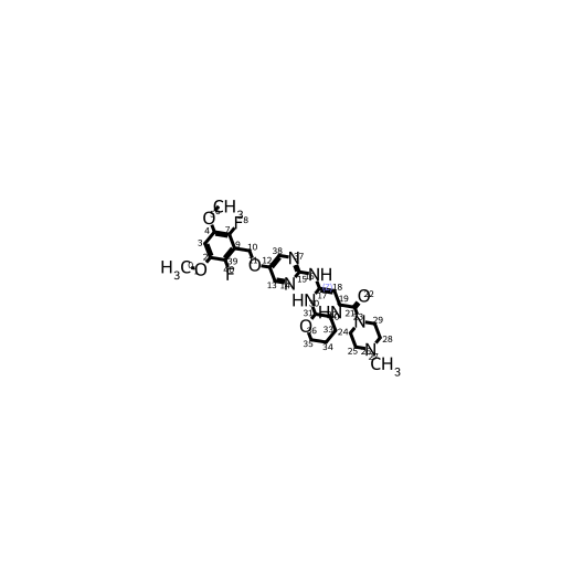 COc1cc(OC)c(F)c(COc2cnc(N/C(=C/C(=N)C(=O)N3CCN(C)CC3)NC3CCCCO3)nc2)c1F